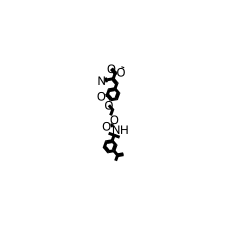 C=C(C)c1cccc(C(C)(C)NC(=O)OCCOc2ccc(/C=C(\C#N)C(=O)OC)cc2OC)c1